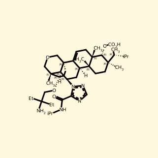 CCC(N)(CC)CO[C@H]1[C@H](n2ncnc2C(=O)NC(C)C)C[C@@]23COC[C@]1(C)[C@@H]2CC[C@H]1C3=CC[C@]2(C)[C@H](OC(=O)O)[C@@](C)([C@H](C)C(C)C)CC[C@]12C